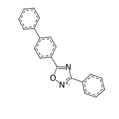 c1ccc(C2=[N+]OC(c3ccc(-c4ccccc4)cc3)=N2)cc1